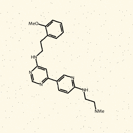 CNCCNc1ccc(-c2cc(NCCc3ccccc3OC)ncn2)cn1